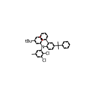 Cc1cc(Cl)c(Cl)c(N(c2cccc(C(C)(C)C)c2)c2ccc(C(C)(C)c3ccccc3)cc2-c2ccccc2)c1